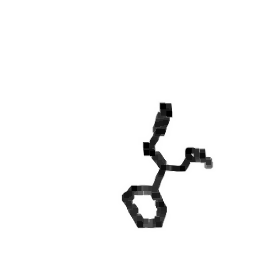 CCC(=NC#N)c1ccccc1